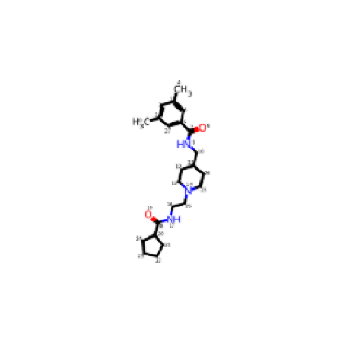 Cc1cc(C)cc(C(=O)NCC2CCN(CCNC(=O)C3CCCC3)CC2)c1